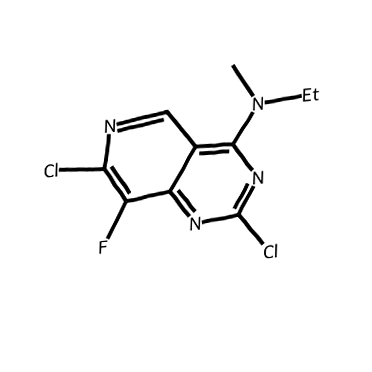 CCN(C)c1nc(Cl)nc2c(F)c(Cl)ncc12